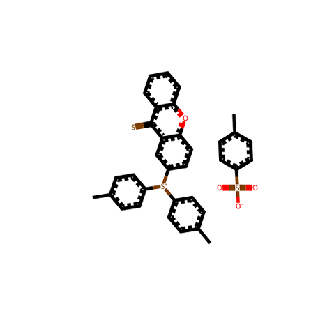 Cc1ccc(S(=O)(=O)[O-])cc1.Cc1ccc([S+](c2ccc(C)cc2)c2ccc3oc4ccccc4c(=S)c3c2)cc1